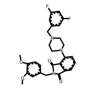 COc1ccc(CN2C(=O)c3cccc(N4CCN(Cc5cc(F)cc(F)c5)CC4)c3C2=O)cc1OC